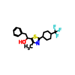 Cc1nc(C2CCC(C(F)(F)F)CC2)sc1C(O)Cc1ccccc1